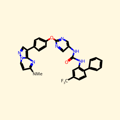 CNc1ccn2ncc(-c3ccc(Oc4ncc(NC(=O)Nc5cc(C(F)(F)F)ccc5-c5ccccc5)cn4)cc3)c2n1